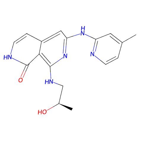 Cc1ccnc(Nc2cc3cc[nH]c(=O)c3c(NC[C@@H](C)O)n2)c1